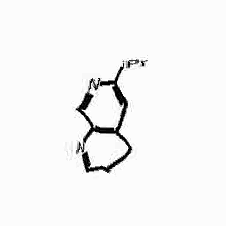 CC(C)c1cc2c(cn1)N=CCC2